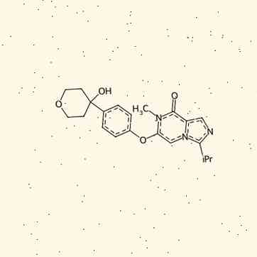 CC(C)c1ncc2c(=O)n(C)c(Oc3ccc(C4(O)CCOCC4)cc3)cn12